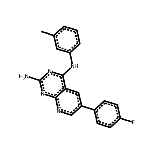 Cc1cccc(Nc2nc(N)nc3ncc(-c4ccc(F)cc4)cc23)c1